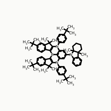 CC(C)(C)c1ccc(N2C3=C(B4C5=C(N(c6ccc(C(C)(C)C)cc6)c6cc(N7c8ccccc8C8(C)CCCCC78C)cc2c64)C(C)(C)c2cc(C(C)(C)C)ccc25)c2ccc(C(C)(C)C)cc2C3(C)C)cc1